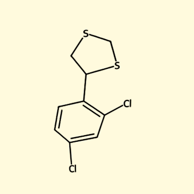 Clc1ccc(C2CSCS2)c(Cl)c1